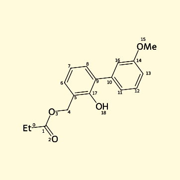 CCC(=O)OCc1cccc(-c2cccc(OC)c2)c1O